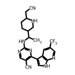 CC(Nc1ncc(C#N)c(-c2c[nH]c3ncc(C(F)(F)F)cc23)n1)C1CCC(CC#N)NC1